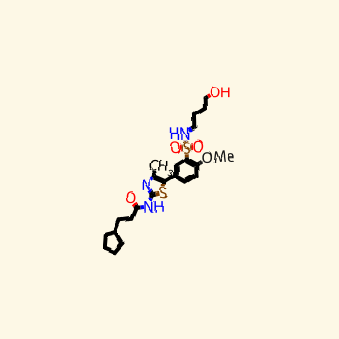 COc1ccc(-c2sc(NC(=O)CCC3CCCC3)nc2C)cc1S(=O)(=O)NCCCCO